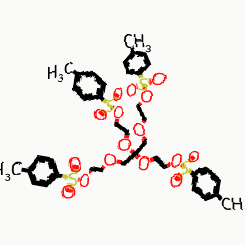 Cc1ccc(S(=O)(=O)OCCOCC(COCCOS(=O)(=O)c2ccc(C)cc2)(OCCOS(=O)(=O)c2ccc(C)cc2)OCCOS(=O)(=O)c2ccc(C)cc2)cc1